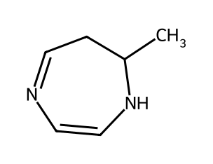 CC1CC=NC=CN1